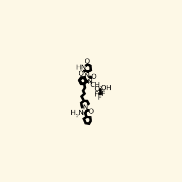 Cn1c(=O)n(C2CCC(=O)NC2=O)c2cccc(CCCCC3CCN(C(=O)[C@@H](N)C4CCCCC4)CC3)c21.O=C(O)C(F)(F)F